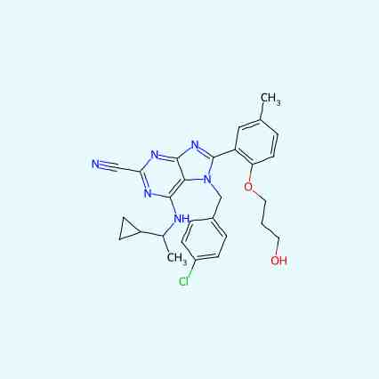 Cc1ccc(OCCCO)c(-c2nc3nc(C#N)nc(NC(C)C4CC4)c3n2Cc2ccc(Cl)cc2)c1